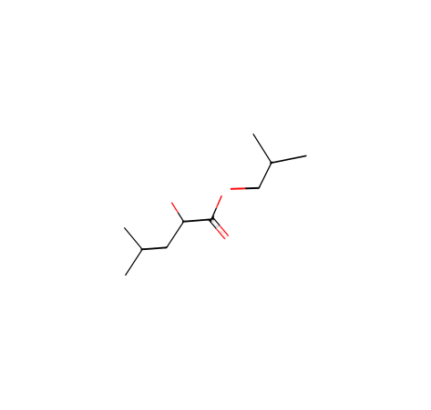 CC(C)COC(=O)C(O)CC(C)C